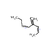 C=C(/C=C\C)/C=N\CC